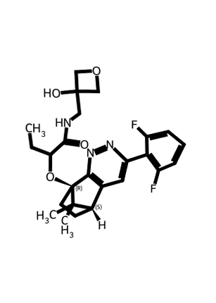 CCC(O[C@@]12CC[C@@H](c3cc(-c4c(F)cccc4F)nnc31)C2(C)C)C(=O)NCC1(O)COC1